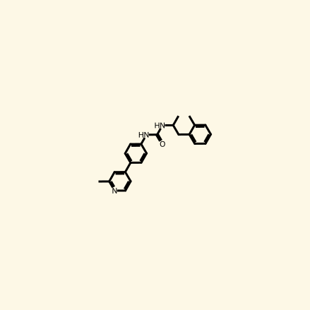 Cc1cc(-c2ccc(NC(=O)NC(C)Cc3ccccc3C)cc2)ccn1